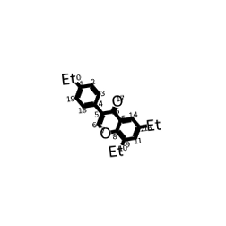 CCc1ccc(-c2coc3c(CC)cc(CC)cc3c2=O)cc1